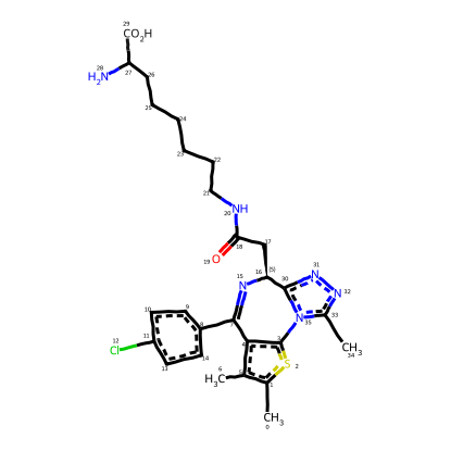 Cc1sc2c(c1C)C(c1ccc(Cl)cc1)=N[C@@H](CC(=O)NCCCCCCC(N)C(=O)O)c1nnc(C)n1-2